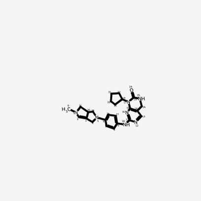 CN1C=C2CN(c3ccc(Nc4ncc5c(n4)N(C4CCCC4)C(=O)NC5)cc3)CC2C1